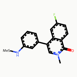 CSNc1cccc(-c2cn(C)c(=O)c3ccc(F)cc23)c1